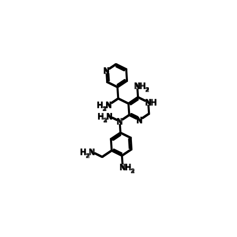 NCc1cc(N(N)C2=NCNC(N)=C2C(N)c2cccnc2)ccc1N